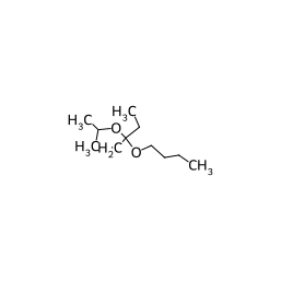 [CH2]C(CC)(OCCCC)OC(C)C